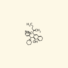 C=C(CCC)C(C)c1cc2c(c(O)c1C(c1ccncc1)N1CCCCC1)=CCCC=2